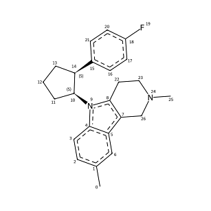 Cc1ccc2c(c1)c1c(n2[C@H]2CCC[C@H]2c2ccc(F)cc2)CCN(C)C1